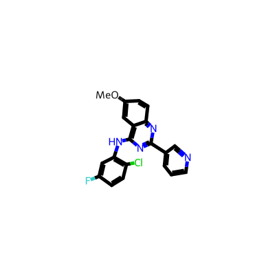 COc1ccc2nc(-c3cccnc3)nc(Nc3cc(F)ccc3Cl)c2c1